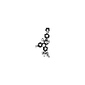 CS(=O)(=O)c1ccc(-c2cnn(-c3ccc(-n4cccc4)cc3)c(=O)c2-c2ccc(F)cc2)cc1